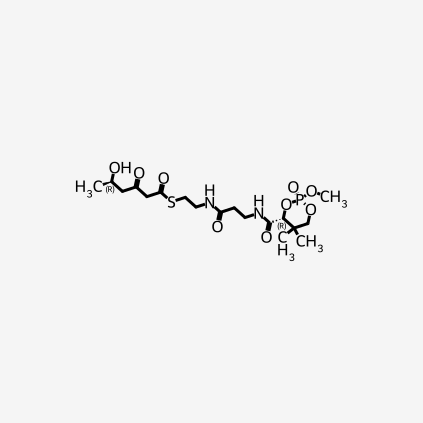 COP1(=O)OCC(C)(C)[C@H](C(=O)NCCC(=O)NCCSC(=O)CC(=O)C[C@@H](C)O)O1